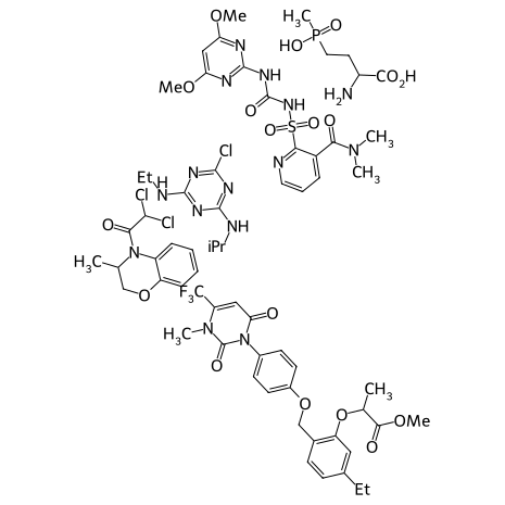 CC1COc2ccccc2N1C(=O)C(Cl)Cl.CCNc1nc(Cl)nc(NC(C)C)n1.CCc1ccc(COc2ccc(-n3c(=O)cc(C(F)(F)F)n(C)c3=O)cc2)c(OC(C)C(=O)OC)c1.COc1cc(OC)nc(NC(=O)NS(=O)(=O)c2ncccc2C(=O)N(C)C)n1.CP(=O)(O)CCC(N)C(=O)O